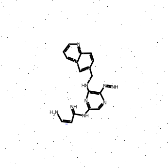 N=Nc1ncc(NC(=N)/C=C\N)nc1NCc1ccc2ncccc2c1